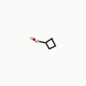 [O]=[Hf][CH]1CCC1